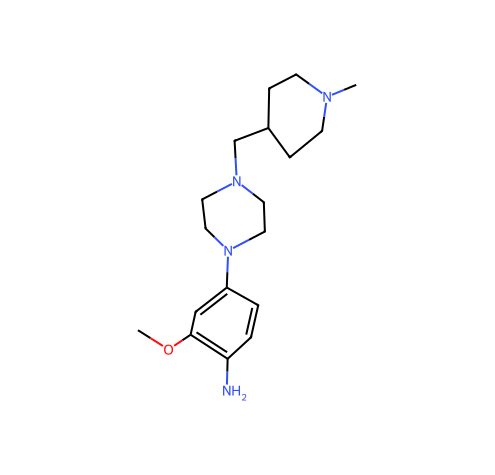 COc1cc(N2CCN(CC3CCN(C)CC3)CC2)ccc1N